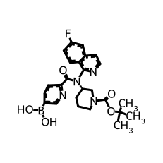 CC(C)(C)OC(=O)N1CCC[C@@H](N(C(=O)c2ccc(B(O)O)cn2)c2nccc3cc(F)ccc23)C1